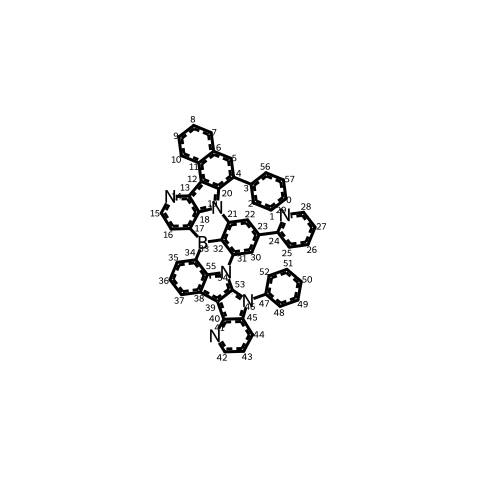 c1ccc(-c2cc3ccccc3c3c4nccc5c4n(c23)-c2cc(-c3ccccn3)cc3c2B5c2cccc4c5c6ncccc6n(-c6ccccc6)c5n-3c24)cc1